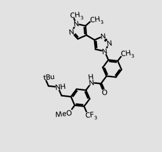 COc1c(CNCC(C)(C)C)cc(NC(=O)c2ccc(C)c(-n3cc(-c4cnn(C)c4C)nn3)c2)cc1C(F)(F)F